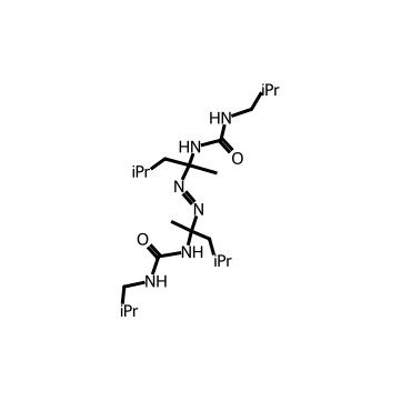 CC(C)CNC(=O)NC(C)(CC(C)C)N=NC(C)(CC(C)C)NC(=O)NCC(C)C